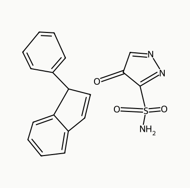 C1=CC(c2ccccc2)c2ccccc21.NS(=O)(=O)C1=NN=CC1=O